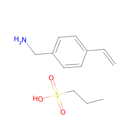 C=Cc1ccc(CN)cc1.CCCS(=O)(=O)O